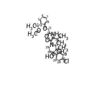 COC(C)c1ccccc1OCC(=O)N[C@@H](C(=O)N1CC[C@](O)(c2ccc(Cl)cc2)C(C)(C)C1)C(C)C